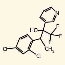 CC(c1ccc(Cl)cc1Cl)C(O)(c1cccnc1)C(F)(F)F